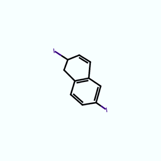 Ic1ccc2c(c1)C=CC(I)C2